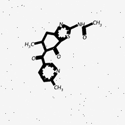 CC(=O)Nc1nc2c(s1)C(=O)C(C(=O)c1ccc(C)nc1)C(C)C2